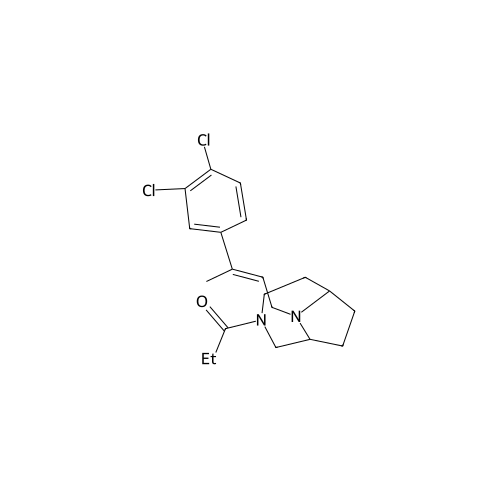 CCC(=O)N1CCC2CCC(C1)N2C/C=C(\C)c1ccc(Cl)c(Cl)c1